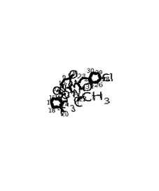 CC(C)N1CC2N(C(=O)CCN2S(=O)(=O)c2cccc(F)c2)C(Cc2ccc(Cl)cc2)C1=O